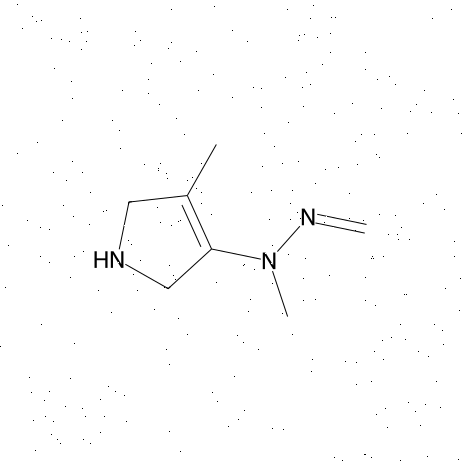 C=NN(C)C1=C(C)CNC1